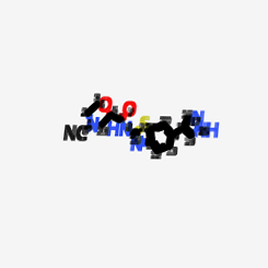 N#CN1CCOC(C(=O)Nc2nc3ccc(-c4cn[nH]c4)cc3s2)C1